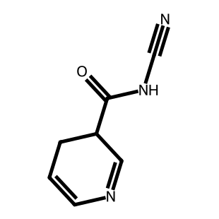 N#CNC(=O)C1C=NC=CC1